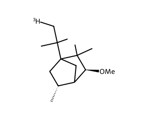 [3H]CC(C)(C)C12CC([C@H](C)C1)[C@H](OC)C2(C)C